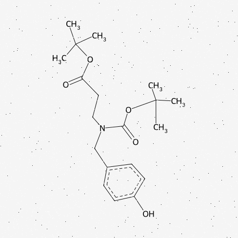 CC(C)(C)OC(=O)CCN(Cc1ccc(O)cc1)C(=O)OC(C)(C)C